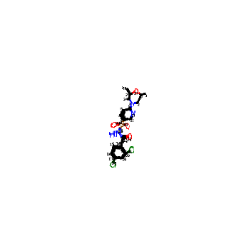 CC1CN(c2ccc(S(=O)(=O)NC(=O)c3ccc(Cl)cc3Cl)cn2)CC(C)O1